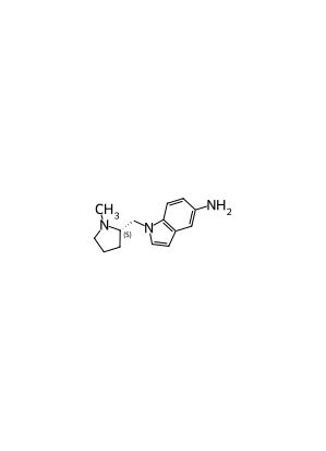 CN1CCC[C@H]1Cn1ccc2cc(N)ccc21